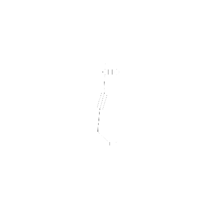 CC(C)CC#C[C]=O